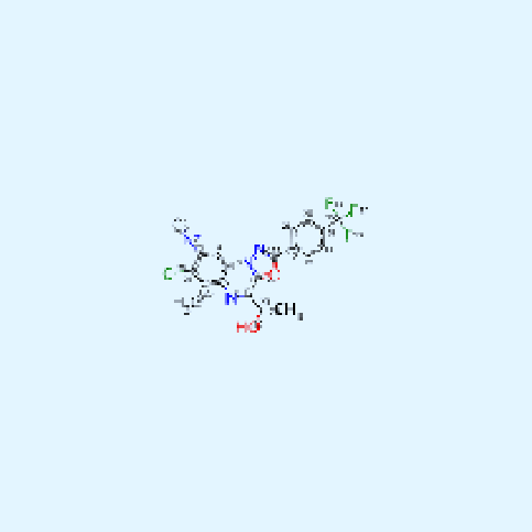 [C-]#[N+]c1ccc(N[C@@H](c2nnc(-c3ccc(C(F)(F)F)cc3)o2)[C@H](C)O)c(C)c1Cl